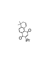 CC(C)C1=CC(=O)c2c(ccc3c2C=CCC3(C)C)C1=O